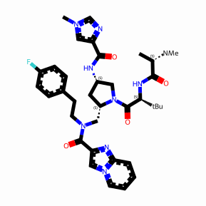 CN[C@@H](C)C(=O)N[C@H](C(=O)N1C[C@@H](NC(=O)c2cn(C)cn2)C[C@H]1CN(CCc1ccc(F)cc1)C(=O)c1cn2ccccc2n1)C(C)(C)C